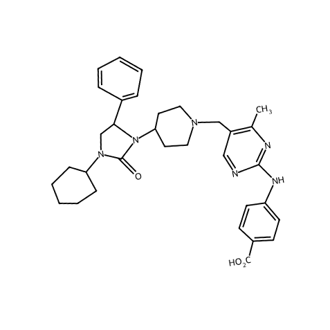 Cc1nc(Nc2ccc(C(=O)O)cc2)ncc1CN1CCC(N2C(=O)N(C3CCCCC3)CC2c2ccccc2)CC1